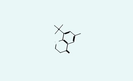 Cc1cc2c(c(C(C)(C)C)c1)OCCC2=O